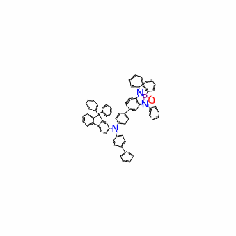 O=P1(c2ccccc2)N(c2ccccc2)c2ccc(-c3ccc(N(c4ccc(-c5ccccc5)cc4)c4ccc5c(c4)C(c4ccccc4)(c4ccccc4)c4ccccc4-5)cc3)cc2N1c1ccccc1